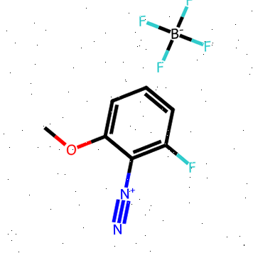 COc1cccc(F)c1[N+]#N.F[B-](F)(F)F